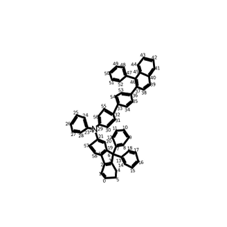 C1=CC2=C(CC1)C(c1ccccc1)(c1ccccc1)c1cc(N(c3ccccc3)c3ccc(-c4ccc(-c5ccc6ccccc6c5-c5ccccc5)cc4)cc3)ccc12